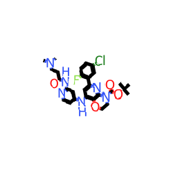 CN(C)CCC(=O)Nc1cc(Nc2cc(-c3cc(Cl)ccc3F)nc3c2OCCN3C(=O)OC(C)(C)C)ccn1